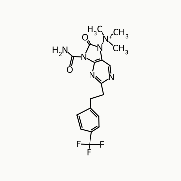 C[N+](C)(C)n1c(=O)n(C(N)=O)c2nc(CCc3ccc(C(F)(F)F)cc3)ncc21